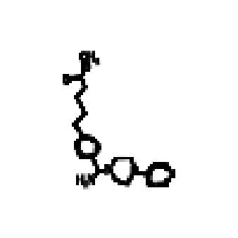 COC(=O)CCCCc1ccc(C(N)N2CCN(c3ccncc3)CC2)cc1